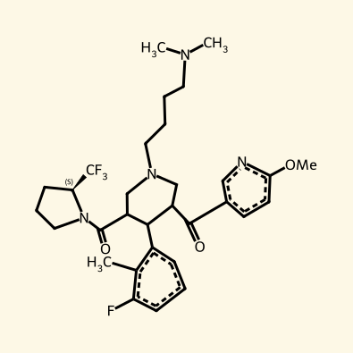 COc1ccc(C(=O)C2CN(CCCCN(C)C)CC(C(=O)N3CCC[C@H]3C(F)(F)F)C2c2cccc(F)c2C)cn1